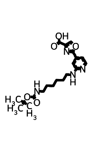 CC(C)(C)OC(=O)NCCCCCCNc1cc(-c2nc(C(=O)O)co2)ccn1